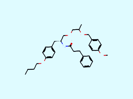 CCCCOc1ccc(C[C@@H](COCC(C)OCc2ccc(OC)cc2)NC(=O)CCc2ccccc2)cc1